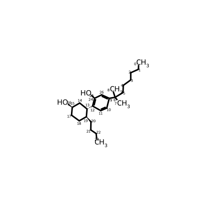 CCCCCCC(C)(C)c1ccc([C@H]2C[C@H](O)CC[C@@H]2CCCC)c(O)c1